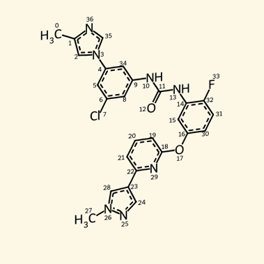 Cc1cn(-c2cc(Cl)cc(NC(=O)Nc3cc(Oc4cccc(-c5cnn(C)c5)n4)ccc3F)c2)cn1